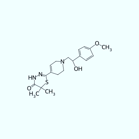 COc1ccc(C(O)CN2CC=C(C3=NNC(=O)C(C)(C)S3)CC2)cc1